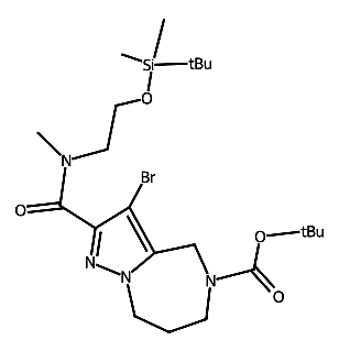 CN(CCO[Si](C)(C)C(C)(C)C)C(=O)c1nn2c(c1Br)CN(C(=O)OC(C)(C)C)CCC2